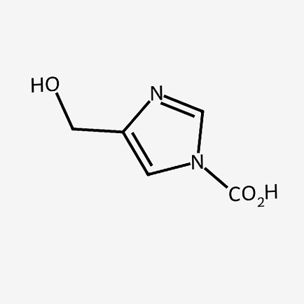 O=C(O)n1cnc(CO)c1